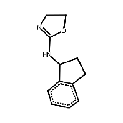 c1ccc2c(c1)CCC2NC1=NCCO1